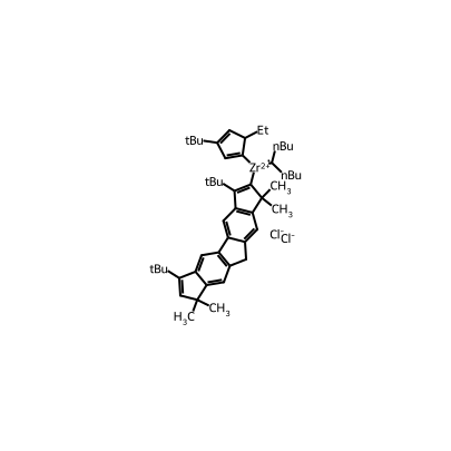 CCCC[C](CCCC)=[Zr+2]([C]1=CC(C(C)(C)C)=CC1CC)[C]1=C(C(C)(C)C)c2cc3c(cc2C1(C)C)Cc1cc2c(cc1-3)C(C(C)(C)C)=CC2(C)C.[Cl-].[Cl-]